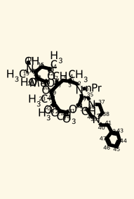 CCCN1C[C@H](C)C[C@@](C)(OC)[C@H](O[C@@H]2O[C@H](C)C[C@H](N(C)C)[C@H]2O)[C@@H](C)C(=O)C(C)(C)C(=O)O[C@@H](C)[C@@H]1CN1CCN(CCc2ccccc2)CC1